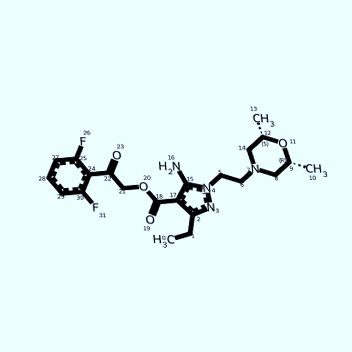 CCc1nn(CCN2C[C@@H](C)O[C@@H](C)C2)c(N)c1C(=O)OCC(=O)c1c(F)cccc1F